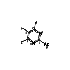 CC(=O)c1nc(C)c(C)c(C)n1